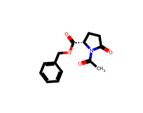 CC(=O)N1C(=O)CC[C@H]1C(=O)OCc1ccccc1